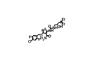 CCN(CC)CC(O)CNC(=O)Nc1snc(OCc2cc(F)c(Cl)cc2F)c1C(N)=O